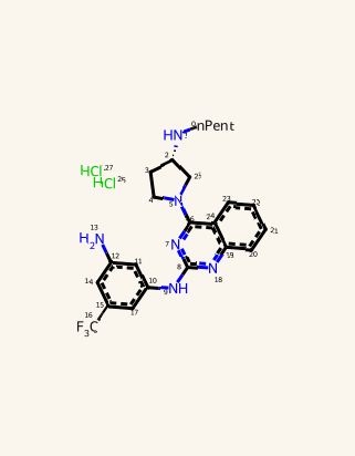 CCCCCN[C@H]1CCN(c2nc(Nc3cc(N)cc(C(F)(F)F)c3)nc3ccccc23)C1.Cl.Cl